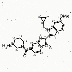 COc1ccc2cc(-c3nc4cc(C(=O)N5CCCC(N)C5)ccn4c3C)n(CC3CC3)c2c1